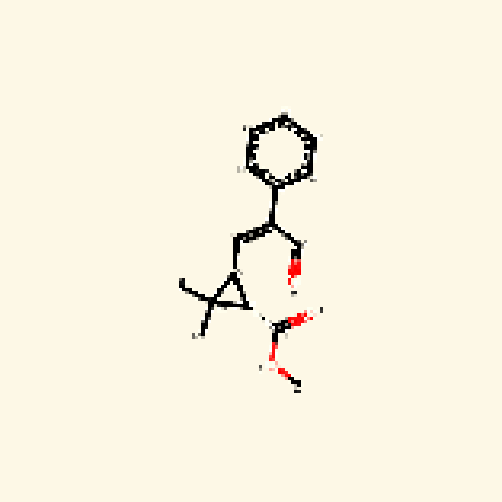 COC(=O)[C@H]1[C@H](C=C(C=O)c2ccccc2)C1(C)C